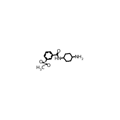 CS(=O)(=O)c1cccc(C(=O)NC2CCC(N)CC2)c1